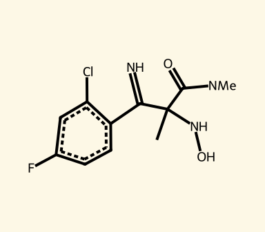 CNC(=O)C(C)(NO)C(=N)c1ccc(F)cc1Cl